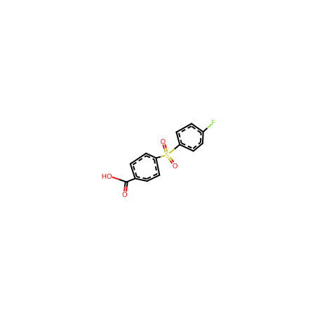 O=C(O)c1ccc(S(=O)(=O)c2ccc(F)cc2)cc1